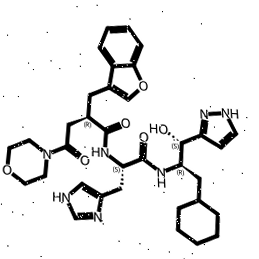 O=C(N[C@@H](Cc1c[nH]cn1)C(=O)N[C@H](CC1CCCCC1)[C@H](O)c1cc[nH]n1)[C@@H](CC(=O)N1CCOCC1)Cc1coc2ccccc12